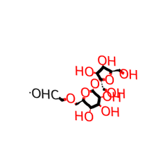 O=[C]COC[C@H]1O[C@H](O[C@]2(CO)O[C@H](CO)[C@@H](O)[C@@H]2O)[C@H](O)[C@@H](O)[C@@H]1O